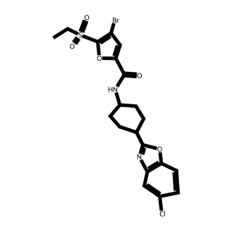 CCS(=O)(=O)c1oc(C(=O)NC2CCC(c3nc4cc(Cl)ccc4o3)CC2)cc1Br